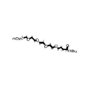 CCCCCCCCCCCOCCOCCOCCOCCCC(=O)OCC(C)C